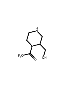 O=C(N1CCNCC1CO)C(F)(F)F